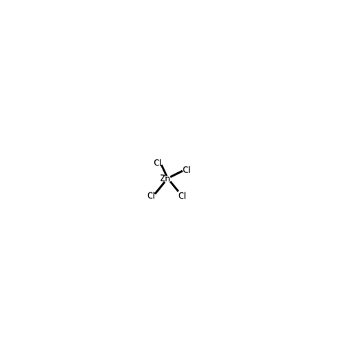 [Cl][Zn]([Cl])([Cl])[Cl]